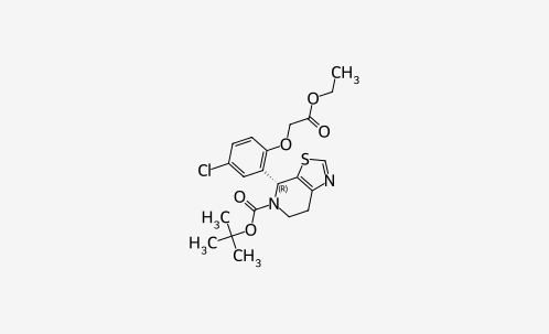 CCOC(=O)COc1ccc(Cl)cc1[C@@H]1c2scnc2CCN1C(=O)OC(C)(C)C